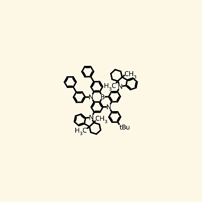 CC(C)(C)c1ccc(N2c3ccc(N4c5ccccc5C5(C)CCCCC45C)cc3B3c4ccc(-c5ccccc5)cc4N(c4cccc(-c5ccccc5)c4)c4cc(N5c6ccccc6C6(C)CCCCC56C)cc2c43)cc1